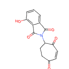 O=C1C=CC(=O)C(N2C(=O)c3cccc(O)c3C2=O)CC1